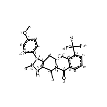 COc1ccc(N2C3=C(NN2C)C(C)N(C(=O)c2cccc(C(F)(F)F)c2Cl)CC3)nc1